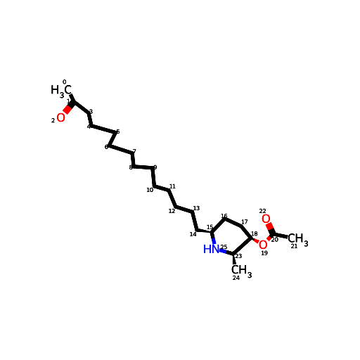 CC(=O)CCCCCCCCCCCC[C@H]1CC[C@@H](OC(C)=O)[C@@H](C)N1